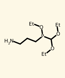 CCOC(OCC)P(CCCN)OCC